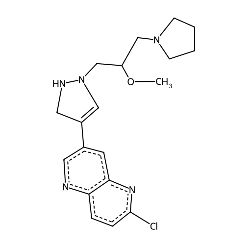 COC(CN1CCCC1)CN1C=C(c2cnc3ccc(Cl)nc3c2)CN1